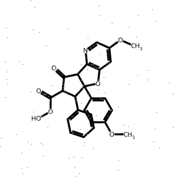 COc1ccc(C23Oc4cc(OC)cnc4C2C(=O)C(C(=O)OO)C3c2ccccc2)cc1